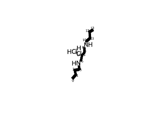 C=C/C=C/NCCCCN/C=C/C=C.Cl.Cl